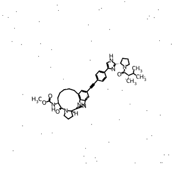 COC(=O)N[C@H]1CCCCCc2cc(C#Cc3ccc(-c4c[nH]c([C@@H]5CCCN5C(=O)[C@@H](C)C(C)C)n4)cc3)cc3nc([nH]c23)[C@@H]2CCCN2C1=O